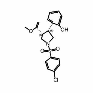 C=C(OC)[C@H]1CN(S(=O)(=O)c2ccc(Cl)cc2)C[C@H]1c1ccccc1O